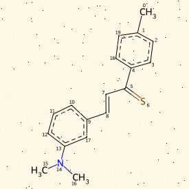 Cc1ccc(C(=S)C=Cc2cccc(N(C)C)c2)cc1